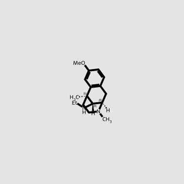 CCN[C@H]1[C@H]2Cc3ccc(OC)cc3[C@]1(C)CCN2C